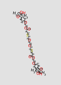 CC(C)(O)C(=O)c1ccc(OCCOC(=O)CCSCCOCCOCCSCCC(=O)OCCOc2ccc(C(=O)C(C)(C)O)cc2)cc1